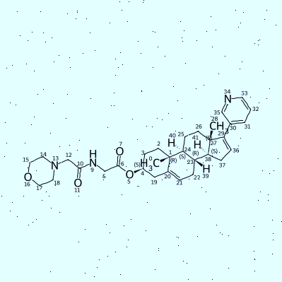 C[C@]12CC[C@H](OC(=O)CNC(=O)CN3CCOCC3)CC1=CC[C@@H]1[C@@H]2CC[C@]2(C)C(c3cccnc3)=CC[C@@H]12